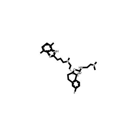 Cc1ccc(C)c2[nH]c(CCCN(C)CC[C@@]3(OC(=O)NCCN(C)C)CCc4cc(F)ccc4[C@@H]3C(C)C)nc12